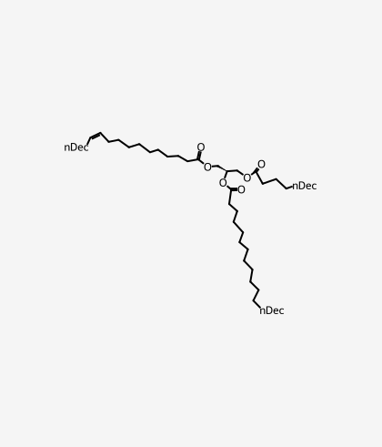 CCCCCCCCCC/C=C\CCCCCCCCCC(=O)OC[C@@H](COC(=O)CCCCCCCCCCCCC)OC(=O)CCCCCCCCCCCCCCCCCCCCC